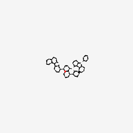 c1ccc(-c2ccccc2N(c2ccc(-c3cccc4c3sc3ccc5ccccc5c34)cc2)c2cccc3c2c2ccccc2n3-c2ccccc2)cc1